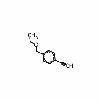 C#Cc1ccc(COCC)cc1